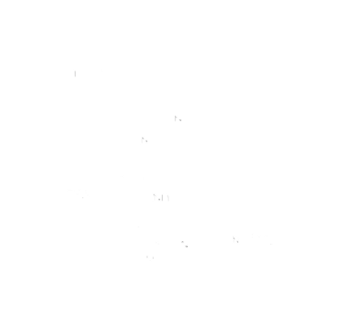 CCOC(=O)N1CCN(C(=O)[C@H](CCC(=O)O)NC(=O)c2cc(C)nc(-c3cccc(F)c3)n2)CC1